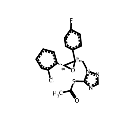 CC(=O)Sc1ncnn1C[C@]1(c2ccc(F)cc2)O[C@@H]1c1ccccc1Cl